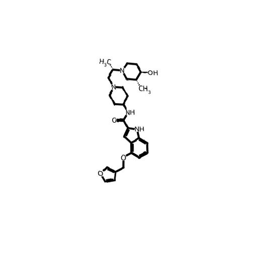 C[C@@H]1CN([C@@H](C)CN2CCC(NC(=O)c3cc4c(OCc5ccoc5)cccc4[nH]3)CC2)CC[C@H]1O